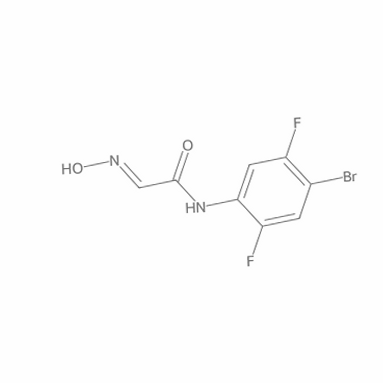 O=C(C=NO)Nc1cc(F)c(Br)cc1F